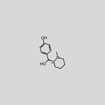 CN1CCCC[C@H]1C(O)c1ccc(O)cc1